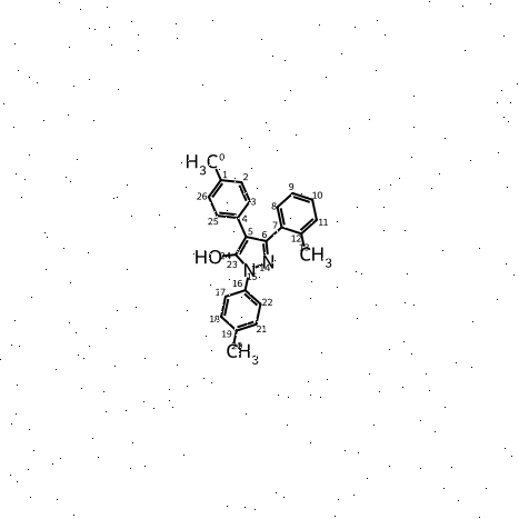 Cc1ccc(-c2c(-c3ccccc3C)nn(-c3ccc(C)cc3)c2O)cc1